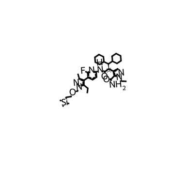 CCc1c(-c2ccc(NC(=O)[C@H](c3cnn(CC)c3C(N)=O)C(C3CCCCC3)C3CCCCC3)nc2F)c(C)nn1COCC[Si](C)(C)C